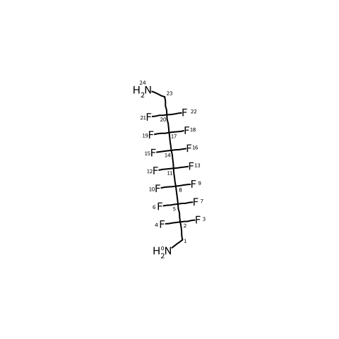 NCC(F)(F)C(F)(F)C(F)(F)C(F)(F)C(F)(F)C(F)(F)C(F)(F)CN